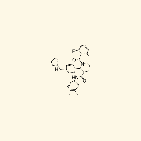 Cc1ccc(NC(=O)C2CCCN(C(=O)c3c(C)cccc3F)C2[C@@H]2C=CC(NC3CCCC3)=CC2)cc1C